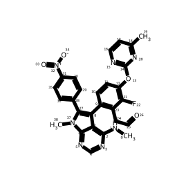 CNc1ncnc2c1c(-c1ccc(Oc3nccc(C)n3)c(F)c1CC=O)c(-c1ccc([N+](=O)[O-])cc1)n2C